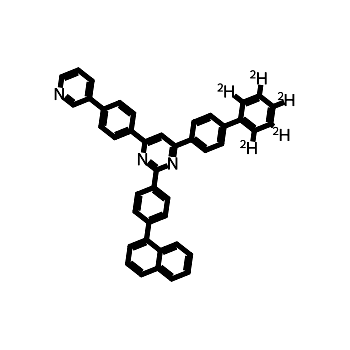 [2H]c1c([2H])c([2H])c(-c2ccc(-c3cc(-c4ccc(-c5cccnc5)cc4)nc(-c4ccc(-c5cccc6ccccc56)cc4)n3)cc2)c([2H])c1[2H]